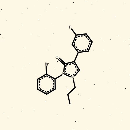 CCCn1cc(-c2cccc(F)c2)c(=O)n1-c1ccccc1Br